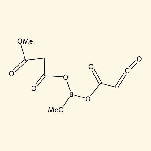 COB(OC(=O)C=C=O)OC(=O)CC(=O)OC